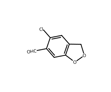 O=Cc1cc2c(cc1Cl)COO2